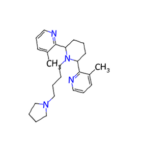 Cc1cccnc1C1CCCC(c2ncccc2C)N1CCCCN1CCCC1